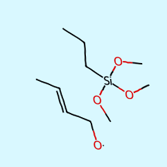 CC=CC[O].CCC[Si](OC)(OC)OC